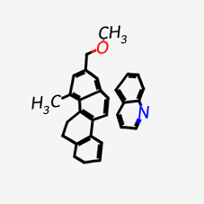 COCc1cc(C)c2c3c(ccc2c1)C1=C(CCC=C1)CC3.c1ccc2ncccc2c1